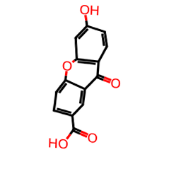 O=C(O)c1ccc2oc3cc(O)ccc3c(=O)c2c1